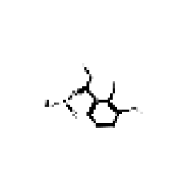 Cc1cccc(/C(CF)=N\[S@+]([O-])C(C)(C)C)c1F